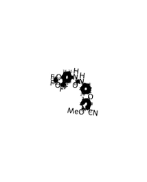 CO[n+]1ccc(Oc2ccc(NC(=O)Nc3ccc4c(c3)C(F)(F)OC(F)(F)O4)cc2)cc1C#N